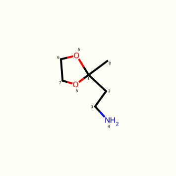 CC1(CCN)OCCO1